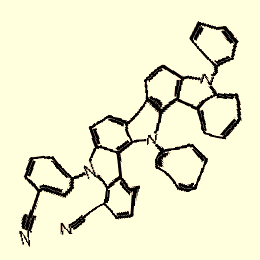 N#Cc1cccc(-n2c3ccc4c5ccc6c(c7ccccc7n6-c6ccccc6)c5n(-c5ccccc5)c4c3c3cccc(C#N)c32)c1